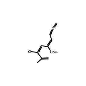 C=C=C/C=C(\C=C(\Cl)C(=C)C)OC